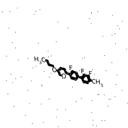 CCCCOC1CCC(c2ccc(-c3ccc(C)c(F)c3F)cc2F)OC1